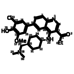 CCC(=O)c1cnc2ccc(-c3cc(Cl)c(O)c(OC)c3)cc2c1N[C@H]1CC[C@H](CN(C)C)CC1